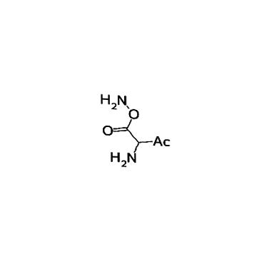 CC(=O)C(N)C(=O)ON